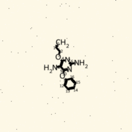 C=CCOc1nc(N)nc(Oc2ccccc2)c1N